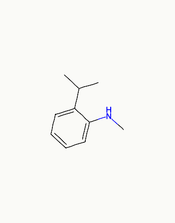 CNc1ccccc1C(C)C